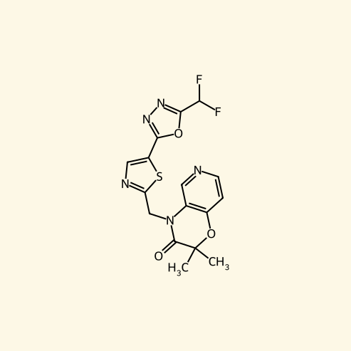 CC1(C)Oc2ccncc2N(Cc2ncc(-c3nnc(C(F)F)o3)s2)C1=O